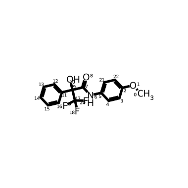 COc1ccc(NC(=O)C(O)(c2ccccc2)C(F)(F)F)cc1